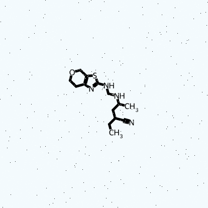 CCC(C#N)CC(C)NCNc1nc2c(s1)COCC2